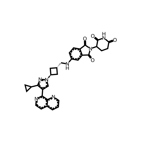 O=C1CCC(N2C(=O)c3ccc(NC[C@H]4C[C@H](n5cc(-c6nccc7cccnc67)c(C6CC6)n5)C4)cc3C2=O)C(=O)N1